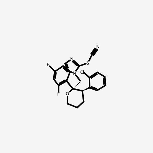 N#CSc1ncnn1C[C@@]1(c2ccc(F)cc2F)OCCC[C@@H]1c1ccccc1Cl